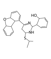 CC(C)SC1CC(C2=CC=CC3OC4C=CC=CC4C23)=NC(C2C=CC=CC2O)N1